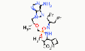 CC(C)CC(CC(C)C)=NO[P@](=O)(CO[C@H](C)Cn1cnc2c(N)ncnc21)NC(C1CCC1)C(C)C(=O)O